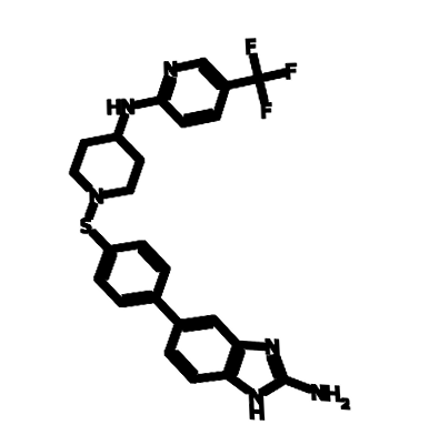 Nc1nc2cc(-c3ccc(SN4CCC(Nc5ccc(C(F)(F)F)cn5)CC4)cc3)ccc2[nH]1